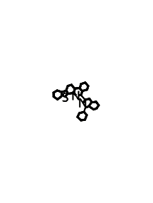 c1ccc(-c2nc(-c3nc4c(ccc5c6ccccc6sc54)c4ccccc34)cc3ccccc23)cc1